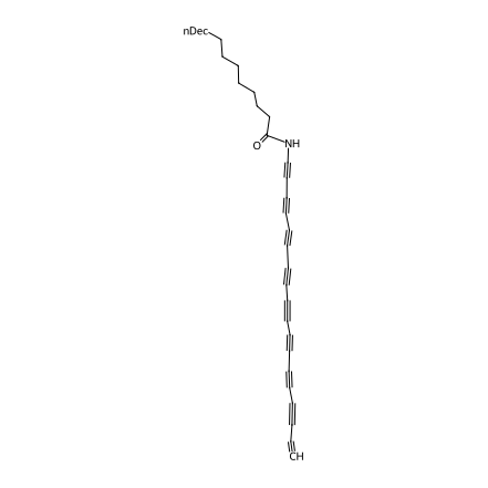 C#CC#CC#CC#CC#CC#CC#CC#CC#CNC(=O)CCCCCCCCCCCCCCCCC